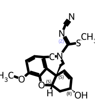 COc1ccc2c3c1O[C@H]1C[C@@H](O)C=C[C@@]31CCN(/C(=N/C#N)SC)C2